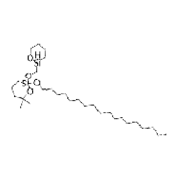 CCCCCCCCCCCCCCCCCCO[Si]1(OC[SiH]2CCCCO2)CCCC(C)(C)O1